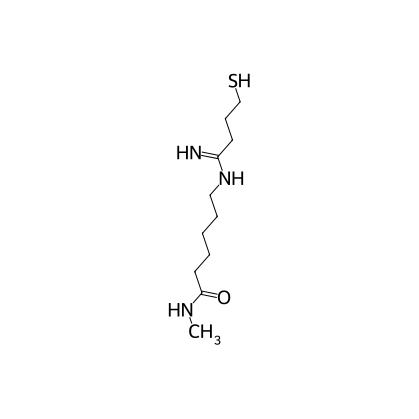 CNC(=O)CCCCCNC(=N)CCCS